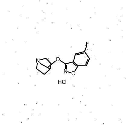 Cl.Fc1ccc2onc(OC3CN4CCC3CC4)c2c1